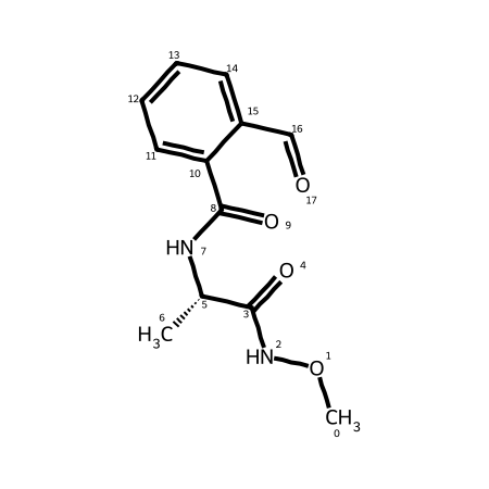 CONC(=O)[C@H](C)NC(=O)c1ccccc1C=O